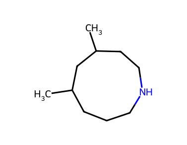 CC1CCCNCCC(C)C1